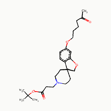 CC(=O)CCCCOc1ccc2c(c1)OCC21CCN(CCC(=O)OC(C)(C)C)CC1